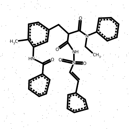 CCN(C(=O)C(Cc1ccc(C)c(NC(=O)c2ccccc2)c1)C(=O)NS(=O)(=O)C=Cc1ccccc1)c1ccccc1